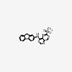 CS(=O)(=O)c1ncc2ncnc(Nc3ccc4c(c3)Cc3ccccc3-4)c2n1